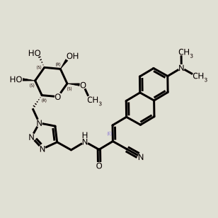 CO[C@H]1O[C@H](Cn2cc(CNC(=O)/C(C#N)=C/c3ccc4cc(N(C)C)ccc4c3)nn2)[C@@H](O)[C@H](O)[C@H]1O